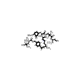 COc1ccc(C[C@@H](NC(=O)/C=C/CC[C@H](C)[C@H]2CC2c2ccc(COC(=O)N(C)CC(C)(C)S)cc2)C(=O)NCC(C)(C)C(=O)O[C@@H](CC(C)C)C(=O)O)cc1Cl